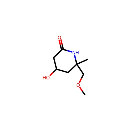 COCC1(C)CC(O)CC(=O)N1